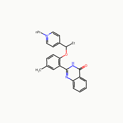 CCC[n+]1ccc(C(CC)Oc2ccc(C)cc2-c2nc3ccccc3c(=O)[nH]2)cc1